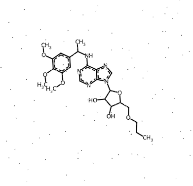 CCCOCC1OC(n2cnc3c(NC(C)c4cc(OC)c(OC)c(OC)c4)ncnc32)C(O)C1O